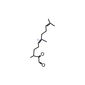 CC(C)=CCC/C(C)=C/CCC(C)C(=O)C=O